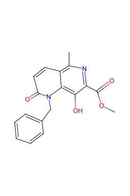 COC(=O)c1nc(C)c2ccc(=O)n(Cc3ccccc3)c2c1O